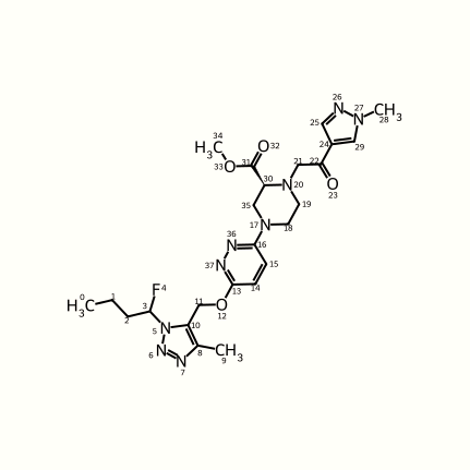 CCCC(F)n1nnc(C)c1COc1ccc(N2CCN(CC(=O)c3cnn(C)c3)[C@H](C(=O)OC)C2)nn1